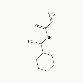 C=CC(=O)NC(O)C1CCCCC1